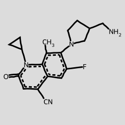 Cc1c(N2CCC(CN)C2)c(F)cc2c(C#N)cc(=O)n(C3CC3)c12